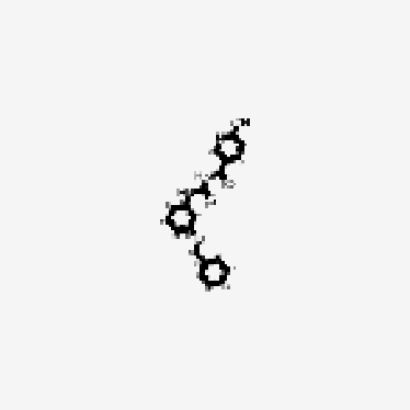 N#Cc1ccc(C(=O)NC(=S)Nc2cccc(OCc3ccccc3)c2)cn1